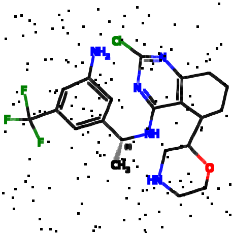 C[C@@H](Nc1nc(Cl)nc2c1C(C1CNCCO1)CCC2)c1cc(N)cc(C(F)(F)F)c1